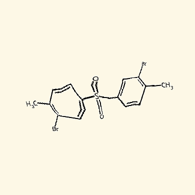 Cc1ccc(S(=O)(=O)c2ccc(C)c(Br)c2)cc1Br